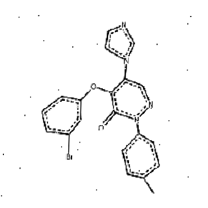 Cc1ccc(-n2ncc(-n3ccnc3)c(Oc3cccc(Br)c3)c2=O)cc1